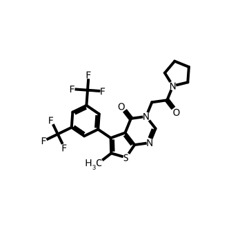 Cc1sc2ncn(CC(=O)N3CCCC3)c(=O)c2c1-c1cc(C(F)(F)F)cc(C(F)(F)F)c1